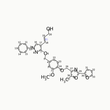 COc1cc(COc2nn(-c3ccccc3)cc2/C=C/CO)ccc1OCc1nc(-c2ccco2)oc1C